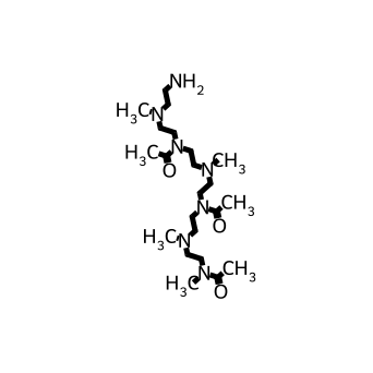 CC(=O)N(C)CCN(C)CCN(CCN(C)CCN(CCN(C)CCN)C(C)=O)C(C)=O